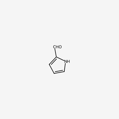 O=[13CH]c1ccc[nH]1